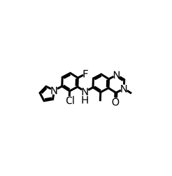 Cc1c(Nc2c(F)ccc(-n3cccc3)c2Cl)ccc2ncn(C)c(=O)c12